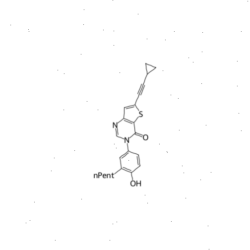 CCCCCc1cc(-n2cnc3cc(C#CC4CC4)sc3c2=O)ccc1O